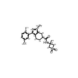 CCc1ccc(F)c(-c2nn(C(C)C)c3c2CCC(C(=O)NC2(C)CS(=O)(=O)C2)C3)c1